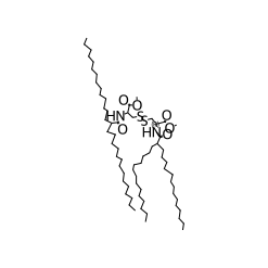 CCCCCCCCCCCCCCC(CCCCCCCCCCCCCC)C(=O)NC(CSSC[C@H](NC(=O)C(CCCCCCCCCCCCCC)CCCCCCCCCCCCCC)C(=O)OC)C(=O)OC